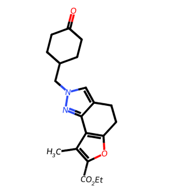 CCOC(=O)c1oc2c(c1C)-c1nn(CC3CCC(=O)CC3)cc1CC2